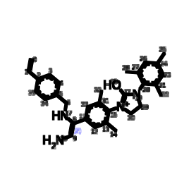 C=Cc1ccc(CN/C(=C\N)c2cc(C)c([N+]3=C(O)N(c4c(C)cc(C)cc4C)CC3)c(C)c2)cc1